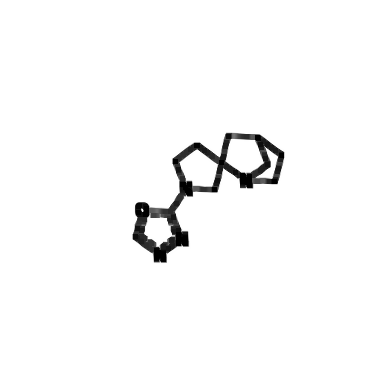 c1nnc(N2CCC3(CC4CCN3C4)C2)o1